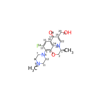 C[C@H]1COc2c(N3CCN(C)CC3)c(F)cc3c(=O)c(CO)cn1c23